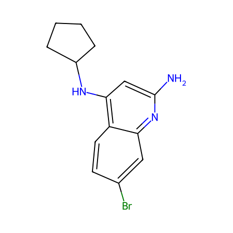 Nc1cc(NC2CCCC2)c2ccc(Br)cc2n1